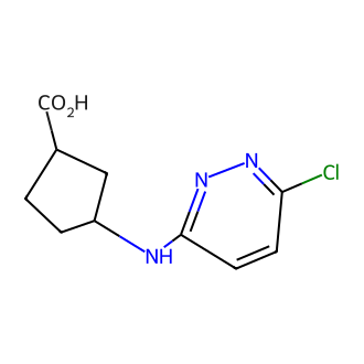 O=C(O)C1CCC(Nc2ccc(Cl)nn2)C1